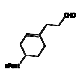 CCCCCC1CC=C(CCC=O)CC1